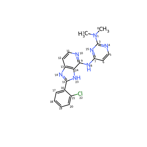 CN(C)c1nccc(Nc2nccc3nc(-c4ccccc4Cl)[nH]c23)n1